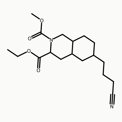 CCOC(=O)C1CC2CC(CCCC#N)CCC2CN1C(=O)OC